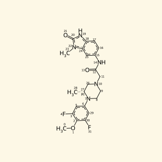 COc1c(F)cc(N2CCN(CC(=O)Nc3ccc4[nH]c(=O)n(C)c4c3)C[C@H]2C)cc1F